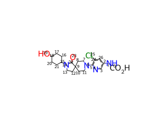 O=C(O)Nc1cnc(N2CCC3(CC2)CCN(C2CCC(O)CC2)C3=O)c(Cl)c1